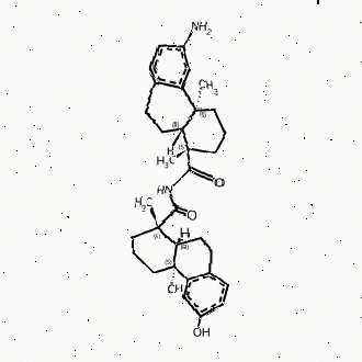 C[C@]1(C(=O)NC(=O)[C@@]2(C)CCC[C@]3(C)c4cc(O)ccc4CC[C@@H]23)CCC[C@]2(C)c3cc(N)ccc3CC[C@@H]12